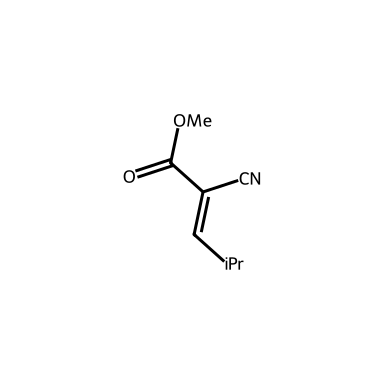 COC(=O)/C(C#N)=C/C(C)C